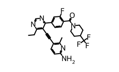 CCc1ncnc(-c2ccc(C(=O)N3CCC(C(F)(F)F)CC3)c(F)c2)c1C#Cc1ccc(N)nc1C